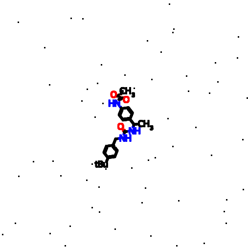 CC(NC(=O)NCc1ccc(C(C)(C)C)cc1)c1ccc(NS(C)(=O)=O)cc1